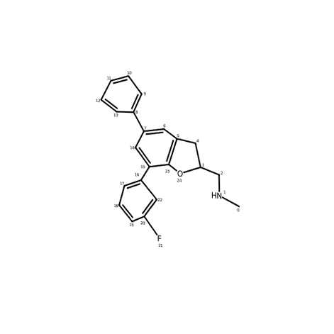 CNCC1Cc2cc(-c3ccccc3)cc(-c3cccc(F)c3)c2O1